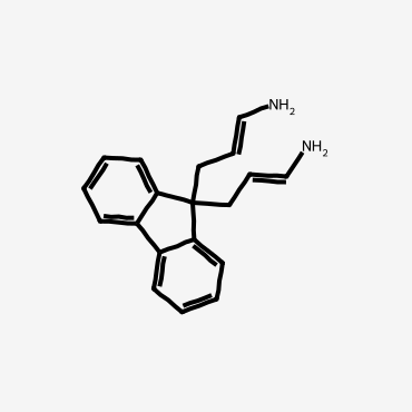 NC=CCC1(CC=CN)c2ccccc2-c2ccccc21